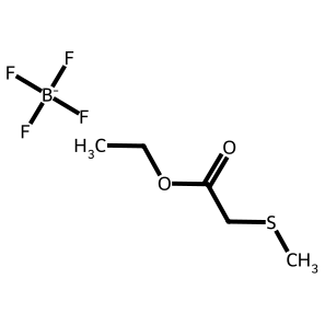 CCOC(=O)CSC.F[B-](F)(F)F